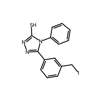 Sc1nnc(-c2cccc(CI)c2)n1-c1ccccc1